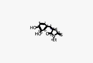 CCN1C(=O)/C(=C\c2ccc(O)c(O)c2)SC1=S